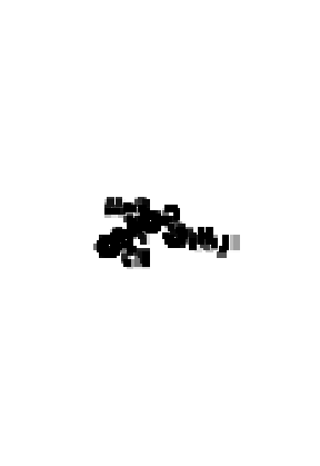 COc1cc(C(=O)N2CCCC(NC(=O)O)C2)cc2nc(-c3cc4ccccc4n3CC#N)n(C)c12